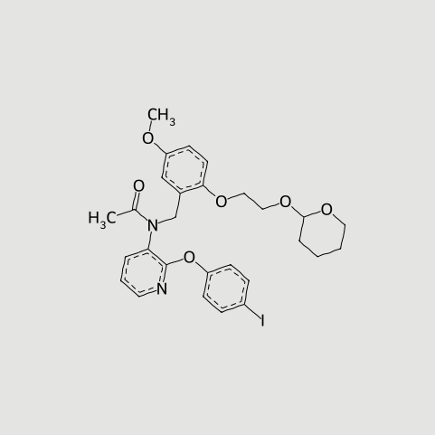 COc1ccc(OCCOC2CCCCO2)c(CN(C(C)=O)c2cccnc2Oc2ccc(I)cc2)c1